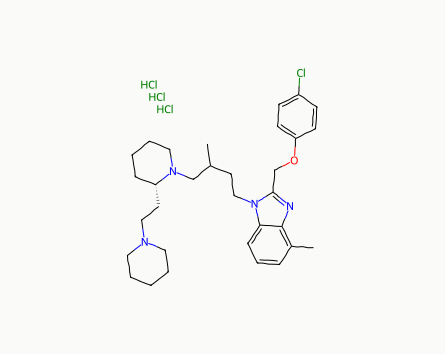 Cc1cccc2c1nc(COc1ccc(Cl)cc1)n2CCC(C)CN1CCCC[C@H]1CCN1CCCCC1.Cl.Cl.Cl